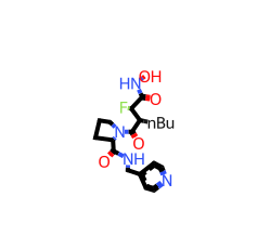 CCCCC(C(=O)N1CCCC1C(=O)NCc1ccncc1)C(F)C(=O)NO